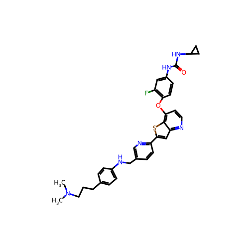 CN(C)CCCc1ccc(NCc2ccc(-c3cc4nccc(Oc5ccc(NC(=O)NC6CC6)cc5F)c4s3)nc2)cc1